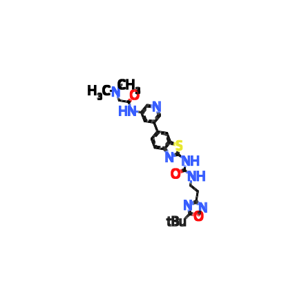 CN(C)CC(=O)Nc1cncc(-c2ccc3nc(NC(=O)NCCc4noc(C(C)(C)C)n4)sc3c2)c1